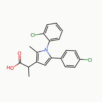 Cc1c(C(C)C(=O)O)cc(-c2ccc(Cl)cc2)n1-c1ccccc1Cl